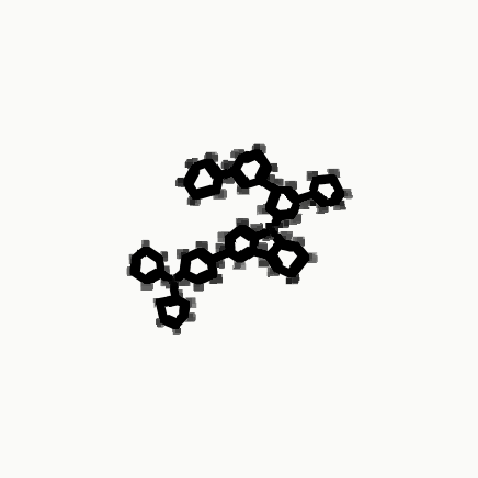 C1=CCCC(N(c2ccccc2)c2ccc(-c3ccc4c(c3)c3ccccc3n4-c3cc(-c4ccccc4)cc(-c4cccc(-c5ccccc5)c4)c3)cc2)=C1